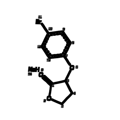 O=C1OCCC1Oc1ccc(Br)cc1.[NaH]